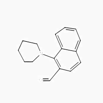 O=Cc1ccc2ccccc2c1N1CCCCC1